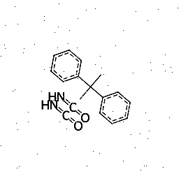 CC(C)(c1ccccc1)c1ccccc1.N=C=O.N=C=O